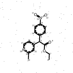 CCOC(=O)C(c1ccc([N+](=O)[O-])cc1)c1ccnc(C)c1